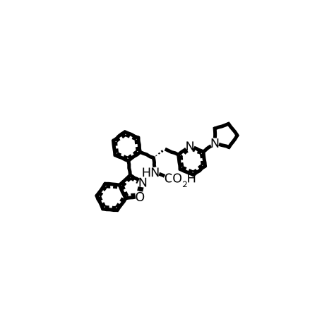 O=C(O)N[C@@H](Cc1cccc(N2CCCC2)n1)c1ccccc1-c1noc2ccccc12